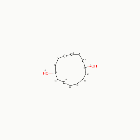 OC1CCCCCCC(O)CCCCCC1